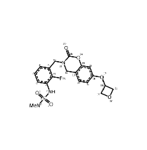 CNS(=O)(=O)Nc1cccc(CN2Cc3ccc(OC4COC4)cc3OC2=O)c1F